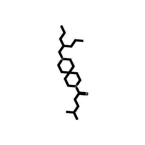 CCCC(CCC)CN1CCC2(CC1)CCN(C(=O)CCC(C)C)CC2